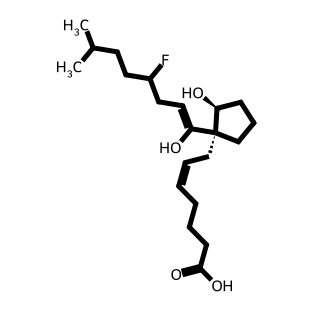 CC(C)CCC(F)CC=C(O)[C@]1(C/C=C\CCCC(=O)O)CCC[C@@H]1O